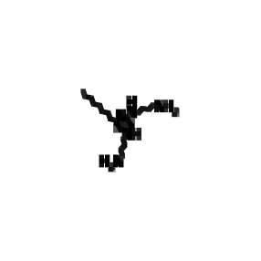 CCCCCCCCc1nc(NCCCCN)nc(NCCCCN)n1